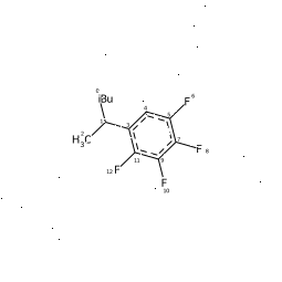 CCC(C)C(C)c1[c]c(F)c(F)c(F)c1F